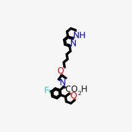 O=C(O)C(c1cc(F)ccc1C1CCCOC1)N1CC(OCCCCCc2ccc3c(n2)NCCC3)C1